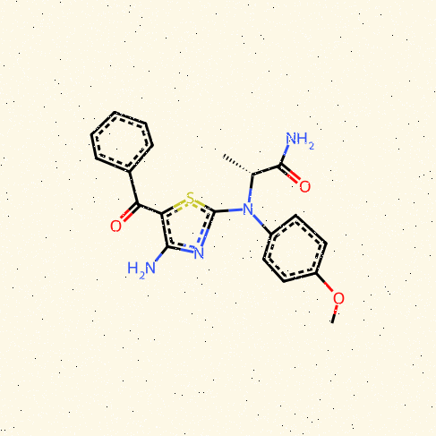 COc1ccc(N(c2nc(N)c(C(=O)c3ccccc3)s2)[C@H](C)C(N)=O)cc1